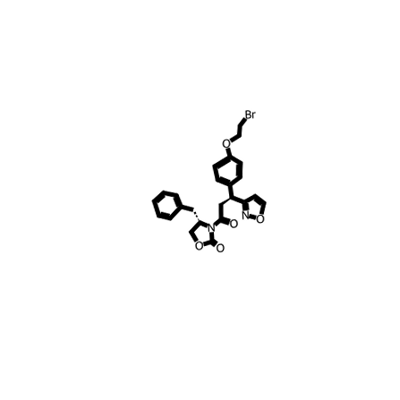 O=C(C[C@@H](c1ccc(OCCBr)cc1)c1ccon1)N1C(=O)OC[C@@H]1Cc1ccccc1